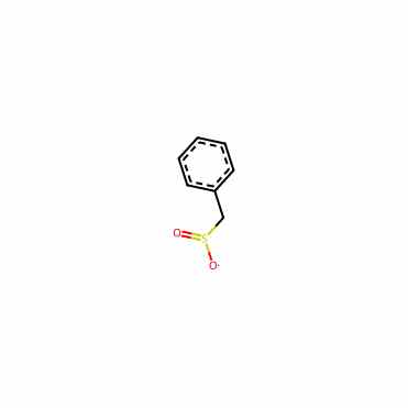 [O]S(=O)Cc1ccccc1